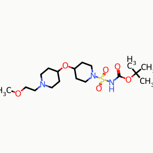 COCCN1CCC(OC2CCN(S(=O)(=O)NC(=O)OC(C)(C)C)CC2)CC1